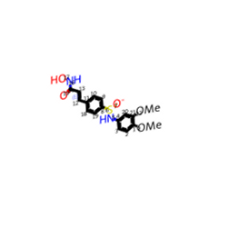 COc1ccc(N[S+]([O-])c2ccc(/C=C/C(=O)NO)cc2)cc1OC